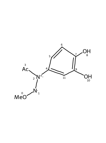 CO[N][N+](C(C)=O)c1ccc(O)c(O)c1